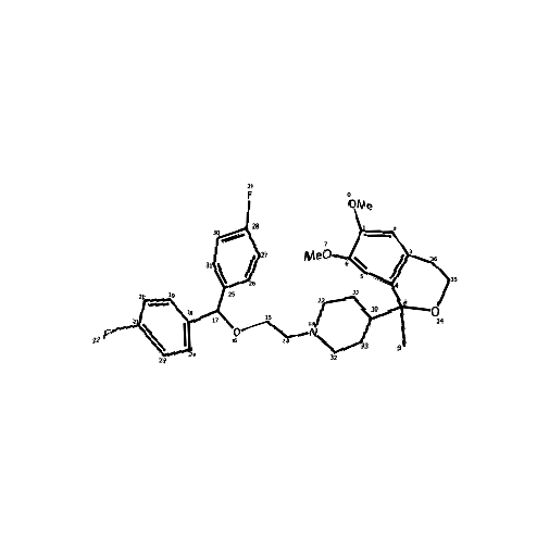 COc1cc2c(cc1OC)C(C)(C1CCN(CCOC(c3ccc(F)cc3)c3ccc(F)cc3)CC1)OCC2